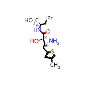 Cc1csc(C[C@@H](N)[C@@H](O)C(=O)N[C@@H](CC(C)C)C(=O)O)c1